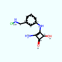 NC1=C(Nc2cccc(CNCl)c2)C(O)C1=O